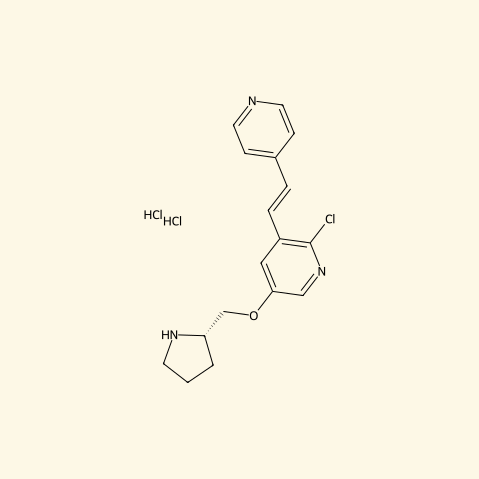 Cl.Cl.Clc1ncc(OC[C@@H]2CCCN2)cc1/C=C/c1ccncc1